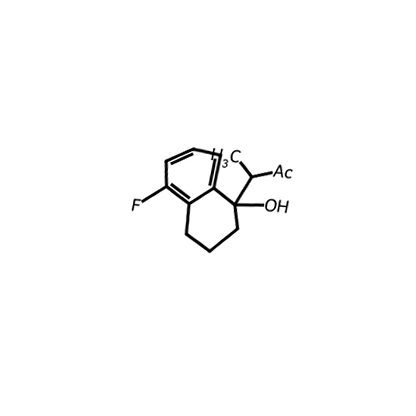 CC(=O)C(C)C1(O)CCCc2c(F)cccc21